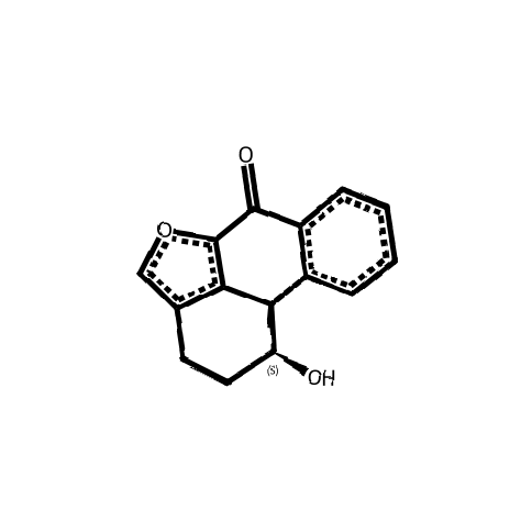 CC12c3ccccc3C(=O)c3occ(c31)CC[C@@H]2O